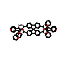 c1ccc(-c2nnc(-c3ccc4c(c3)C3(c5cc(-c6nnc(-c7ccccc7)c(-c7ccccc7)n6)ccc5-4)c4cc(-c5nnc(-c6ccccc6)c(-c6ccccc6)n5)ccc4-c4ccc(-c5nnc(-c6ccccc6)c(-c6ccccc6)n5)cc43)nc2-c2ccccc2)cc1